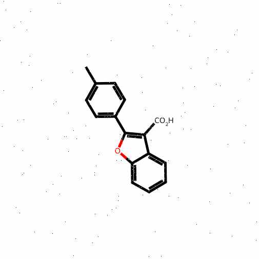 Cc1ccc(-c2oc3ccccc3c2C(=O)O)cc1